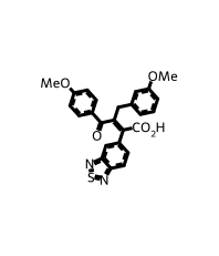 COc1ccc(C(=O)C(Cc2cccc(OC)c2)=C(C(=O)O)c2ccc3nsnc3c2)cc1